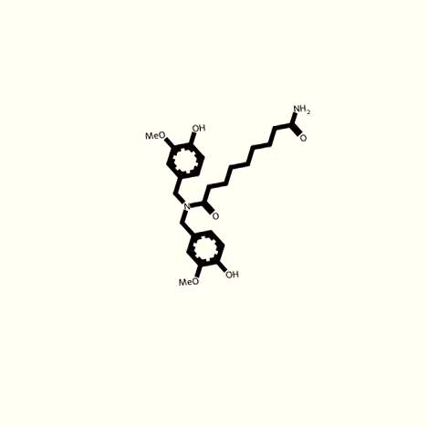 COc1cc(CN(Cc2ccc(O)c(OC)c2)C(=O)CCCCCCCC(N)=O)ccc1O